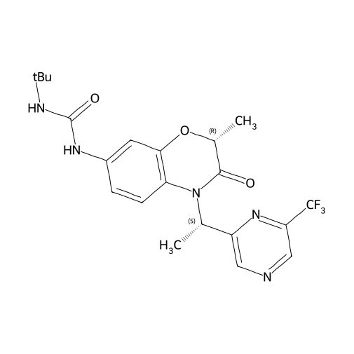 C[C@H]1Oc2cc(NC(=O)NC(C)(C)C)ccc2N([C@@H](C)c2cncc(C(F)(F)F)n2)C1=O